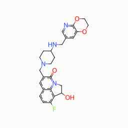 O=c1c(CN2CCC(NCc3cnc4c(c3)OCCO4)CC2)cc2ccc(F)c3c2n1CC3O